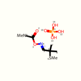 CNC(=O)O/N=C/C(C)(C)SC.O=P(O)(O)O